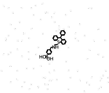 OB(O)c1ccc(CNCCSc2ccccc2C(c2ccccc2)c2ccccc2)cc1